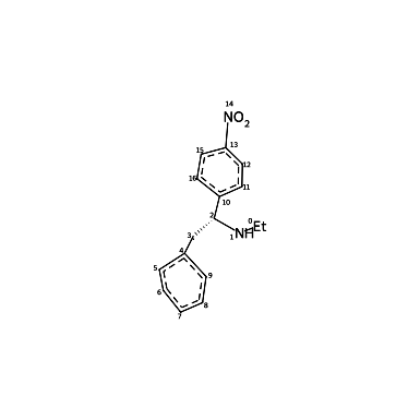 CCN[C@H]([CH]c1ccccc1)c1ccc([N+](=O)[O-])cc1